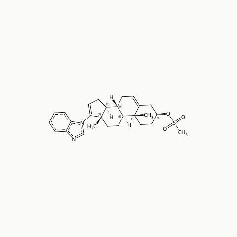 C[C@]12CC[C@H](OS(C)(=O)=O)CC1=CC[C@@H]1[C@@H]2CC[C@]2(C)C(n3cnc4ccccc43)=CC[C@@H]12